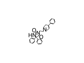 O=C1NC(c2ccccc2)(c2ccccc2)C(=O)N1CCN1CC=C(c2ccccc2)CC1